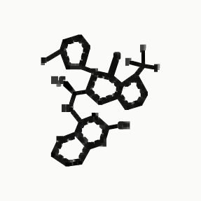 C[C@H](Nc1nc(O)nc2cccnc12)c1cc2cccc(C(F)(F)F)c2c(=O)n1-c1cccc(F)c1